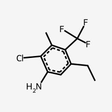 CCc1cc(N)c(Cl)c(C)c1C(F)(F)F